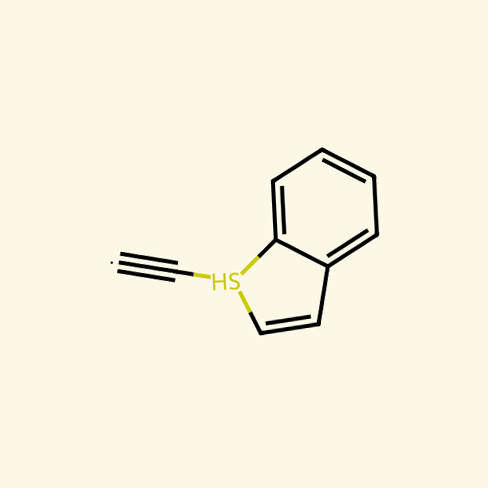 [C]#C[SH]1C=Cc2ccccc21